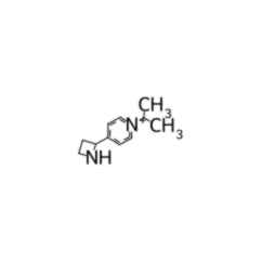 CC(C)[n+]1ccc(C2CCN2)cc1